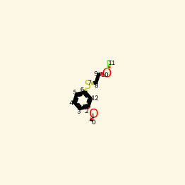 COc1cccc(SCCOF)c1